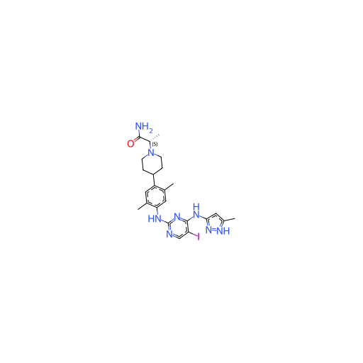 Cc1cc(Nc2nc(Nc3cc(C)c(C4CCN([C@@H](C)C(N)=O)CC4)cc3C)ncc2I)n[nH]1